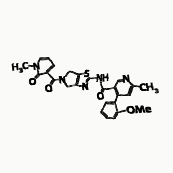 COc1ccccc1-c1cc(C)ncc1C(=O)Nc1nc2c(s1)CN(C(=O)c1cccn(C)c1=O)C2